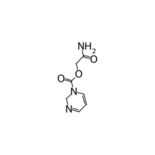 NC(=O)COC(=O)N1C=CC=NC1